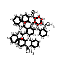 CN1c2ccccc2N(c2cc(N3c4ccccc4N(C)c4ccccc43)c(N3c4ccccc4N(C)c4ccccc43)c(-c3nc4ccccc4o3)c2-c2nc3ccccc3o2)c2ccccc21